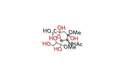 COC(O)(C(O)CO)[C@@H]1OC(O)(C(=O)O)C[C@@](O)(OC)[C@H]1NC(C)=O